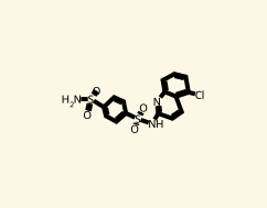 NS(=O)(=O)c1ccc(S(=O)(=O)Nc2ccc3c(Cl)cccc3n2)cc1